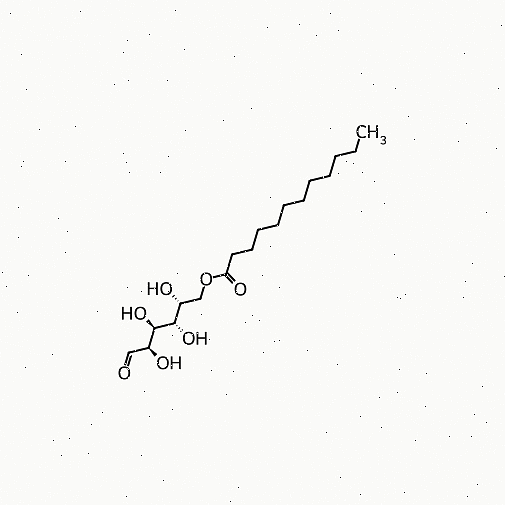 CCCCCCCCCCCC(=O)OC[C@@H](O)[C@H](O)[C@H](O)[C@@H](O)C=O